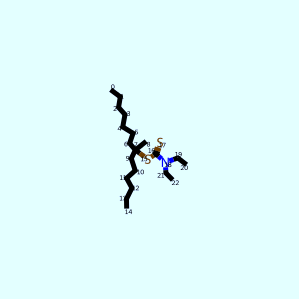 CCCCCCCC(C)(CCCCCC)SC(=S)N(CC)CC